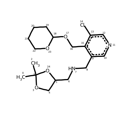 CC1(C)OCC(CNCc2cncc(Cl)c2COC2CCCCO2)O1